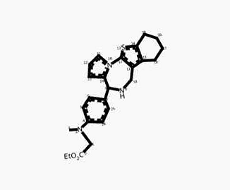 CCOC(=O)CN(C)c1ccc(C2NCc3c(sc4c3CCCC4)-n3cccc32)cc1